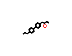 C=CC(=O)Cc1ccc(-c2ccc(CCC)cc2)cc1